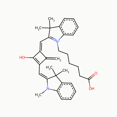 C=C1C(/C=C2/N(C)c3ccccc3C2(C)C)=C(O)C/1=C/C1=[N+](CCCCCC(=O)O)c2ccccc2C1(C)C